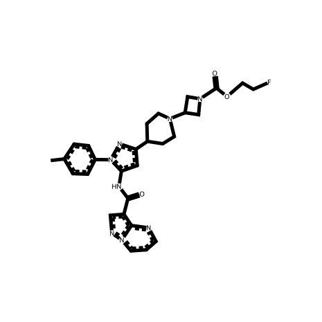 Cc1ccc(-n2nc(C3CCN(C4CN(C(=O)OCCF)C4)CC3)cc2NC(=O)c2cnn3cccnc23)cc1